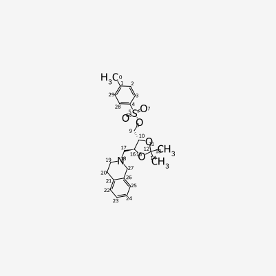 Cc1ccc(S(=O)(=O)OC[C@@H]2OC(C)(C)O[C@H]2CN2CCc3ccccc3C2)cc1